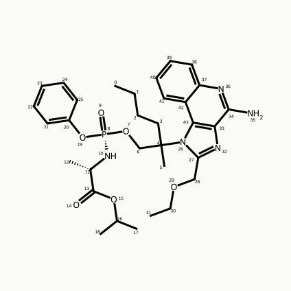 CCCCC(C)(CO[P@@](=O)(N[C@@H](C)C(=O)OC(C)C)Oc1ccccc1)n1c(COCC)nc2c(N)nc3ccccc3c21